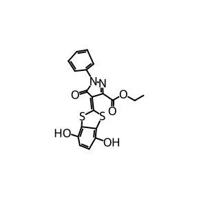 CCOC(=O)C1=NN(c2ccccc2)C(=O)C1=C1Sc2c(O)ccc(O)c2S1